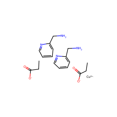 CCC(=O)[O-].CCC(=O)[O-].NCc1ccccn1.NCc1ccccn1.[Cu+2]